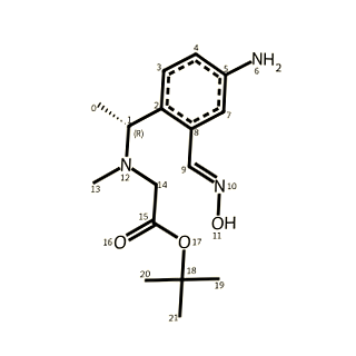 C[C@H](c1ccc(N)cc1C=NO)N(C)CC(=O)OC(C)(C)C